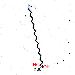 CCCC[Si](O)(O)CCCCCCCCCCCCCCCCCCN